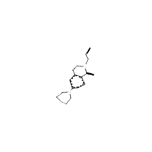 C=CCN1CCc2cc(N3CCCCC3)ccc2C1=O